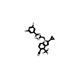 N#Cc1ccc2c(cc(C3CC3)n2Cc2noc(-c3cc(F)cc(F)c3)n2)c1C(F)(F)F